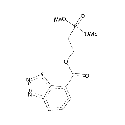 COP(=O)(CCOC(=O)c1cccc2nnsc12)OC